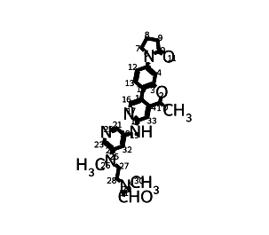 CC1Oc2cc(N3CCCC3=O)ccc2-c2cnc(Nc3cncc(N(C)CCN(C)C=O)c3)cc21